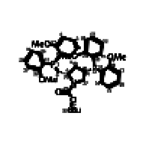 COc1ccccc1P(C[C@@H]1C[C@H](P(c2ccccc2OC)c2ccccc2OC)CN1C(=O)OC(C)(C)C)c1ccccc1OC